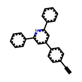 C#Cc1ccc(-c2cc(-c3ccccc3)nc(-c3ccccc3)c2)cc1